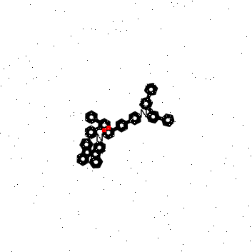 c1ccc(-c2ccc3c(c2)c2cc(-c4ccccc4)ccc2n3-c2ccc(-c3ccc(-c4ccc(N(c5ccc6c(c5)C5(c7ccccc7-c7ccccc75)c5ccccc5-6)c5ccccc5-c5ccccc5-c5ccccc5)cc4)cc3)cc2)cc1